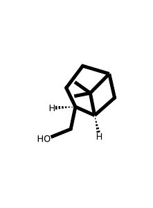 CC1(C)C2CC[C@H](CO)[C@@H]1C2